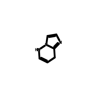 C1=CNn2ccnc2C1